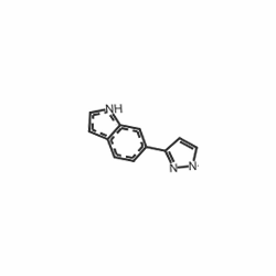 C1=CC(c2ccc3cc[nH]c3c2)=N[N]1